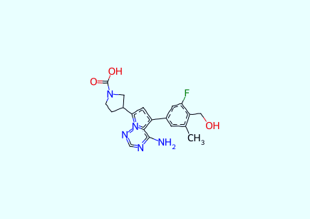 Cc1cc(-c2cc(C3CCN(C(=O)O)C3)n3ncnc(N)c23)cc(F)c1CO